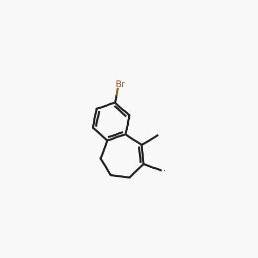 [CH2]C1=C(C)c2cc(Br)ccc2CCC1